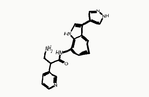 NCC(C(=O)Nc1cccc2c(-c3cn[nH]c3)c[nH]c12)c1cccnc1